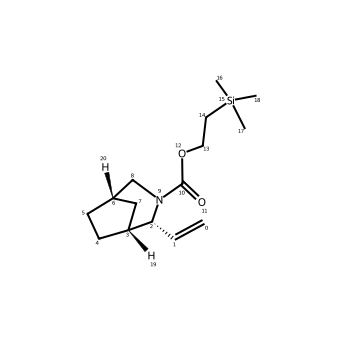 C=C[C@@H]1[C@@H]2CC[C@@H](C2)CN1C(=O)OCC[Si](C)(C)C